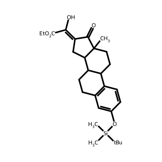 CCOC(=O)/C(O)=C1\CC2C3CCc4cc(O[Si](C)(C)C(C)(C)C)ccc4C3CCC2(C)C1=O